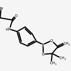 C=C1OB(c2ccc(NC(=O)CBr)cc2)OC1(C)C